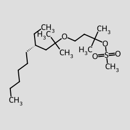 CCCCCC[C@H](CC)CC(C)(C)OCCC(C)(C)OS(C)(=O)=O